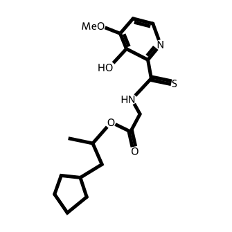 COc1ccnc(C(=S)NCC(=O)OC(C)CC2CCCC2)c1O